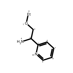 CCOCC(N)c1ccccn1